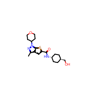 Cc1nn(C2CCOCC2)c2sc(C(=O)N[C@H]3CC[C@H](CO)CC3)cc12